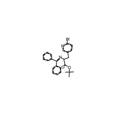 CC(C)(C)OC(=O)C(Cc1ccc(Br)nc1)N=C(c1ccccc1)c1ccccc1